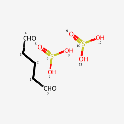 O=CCCCC=O.O=S(O)O.O=S(O)O